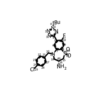 CC(C)(C)n1nnc(-c2cc3c(cc2F)S(=O)(=O)C[C@H](N)CN3Cc2ccc(Cl)cc2)n1